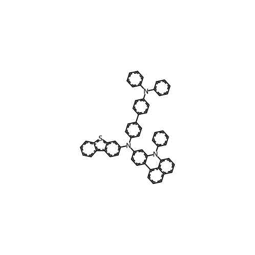 c1ccc(N(c2ccccc2)c2ccc(-c3ccc(N(c4ccc5c(c4)N(c4ccccc4)c4cccc6cccc-5c46)c4ccc5c(c4)sc4ccccc45)cc3)cc2)cc1